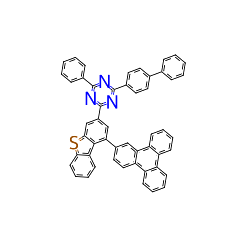 c1ccc(-c2ccc(-c3nc(-c4ccccc4)nc(-c4cc(-c5ccc6c7ccccc7c7ccccc7c6c5)c5c(c4)sc4ccccc45)n3)cc2)cc1